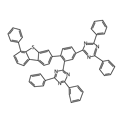 c1ccc(-c2nc(-c3ccccc3)nc(-c3ccc(-c4ccc5c(c4)sc4c(-c6ccccc6)cccc45)c(-c4nc(-c5ccccc5)nc(-c5ccccc5)n4)c3)n2)cc1